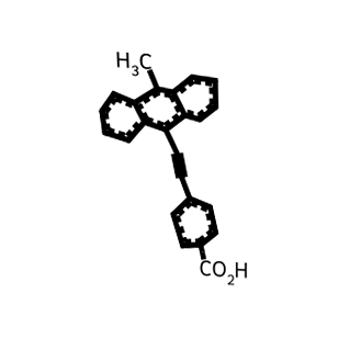 Cc1c2ccccc2c(C#Cc2ccc(C(=O)O)cc2)c2ccccc12